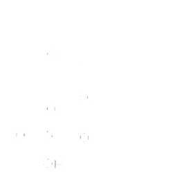 O=C(OOS(=O)(=O)O)c1ccccc1